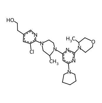 CC1CN(c2ncc(CCO)cc2Cl)CCN1c1cc(N2CCCCC2)nc(N2CCOCC2C)n1